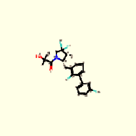 CCC(C)(O)C(=O)N1CC(F)(F)[C@H](C)[C@@H]1Cc1cccc(-c2cccc(F)c2)c1F